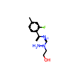 C=C(/N=C\N(N)CCO)c1ccc(C)cc1F